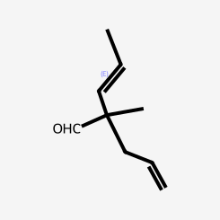 C=CCC(C)(C=O)/C=C/C